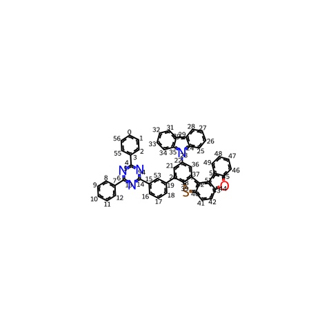 c1ccc(-c2nc(-c3ccccc3)nc(-c3cccc(-c4cc(-n5c6ccccc6c6ccccc65)cc5c4sc4ccc6oc7ccccc7c6c45)c3)n2)cc1